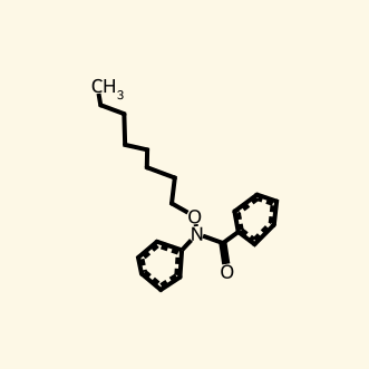 CCCCCCCCON(C(=O)c1ccccc1)c1ccccc1